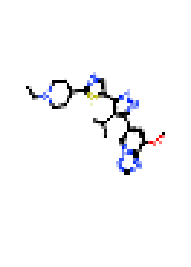 CCN1CCC(c2ncc(-c3n[nH]c(-c4cc(OC)c5ncnn5c4)c3C(C)C)s2)CC1